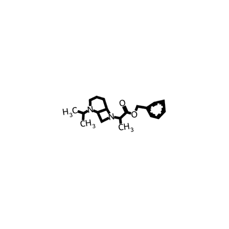 CC(C)N1CCCC2C1CN2C(C)C(=O)OCc1ccccc1